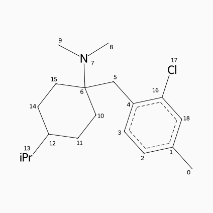 Cc1ccc(CC2(N(C)C)CCC(C(C)C)CC2)c(Cl)c1